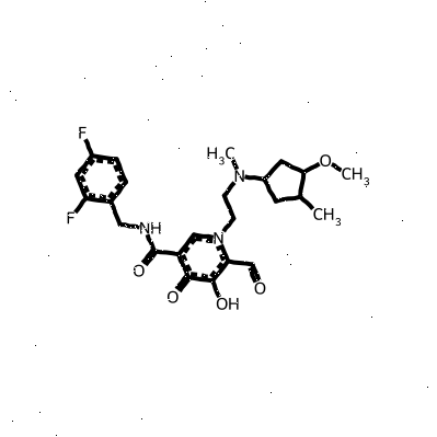 COC1CC(N(C)CCn2cc(C(=O)NCc3ccc(F)cc3F)c(=O)c(O)c2C=O)CC1C